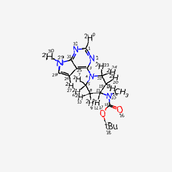 [2H]c1nc(N2C([2H])([2H])C([2H])([2H])C([2H])(N(C)C(=O)OC(C)(C)C)C([2H])([2H])C2([2H])[2H])c2c([2H])cn([2H])c2n1